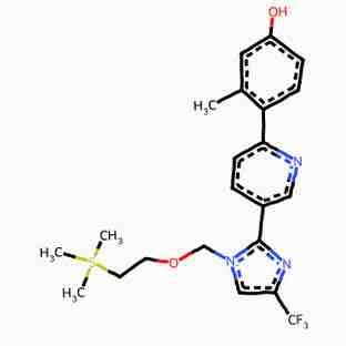 Cc1cc(O)ccc1-c1ccc(-c2nc(C(F)(F)F)cn2COCCS(C)(C)C)cn1